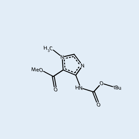 COC(=O)c1c(NC(=O)OC(C)(C)C)ncn1C